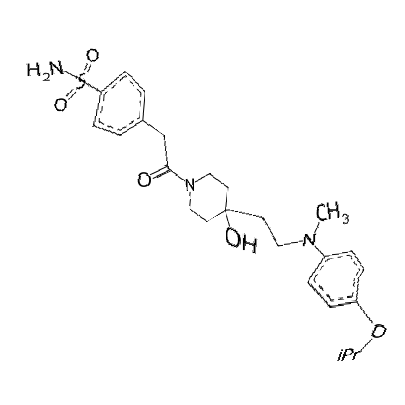 CC(C)Oc1ccc(N(C)CCC2(O)CCN(C(=O)Cc3ccc(S(N)(=O)=O)cc3)CC2)cc1